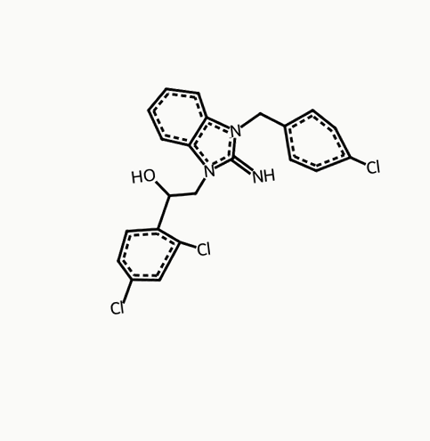 N=c1n(Cc2ccc(Cl)cc2)c2ccccc2n1CC(O)c1ccc(Cl)cc1Cl